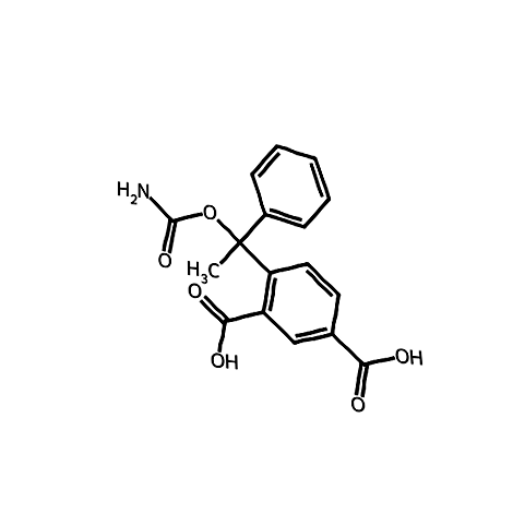 CC(OC(N)=O)(c1ccccc1)c1ccc(C(=O)O)cc1C(=O)O